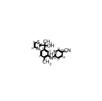 Cc1ccc(C(C)(O)c2nccs2)cc1Nc1ccc(C#N)cn1